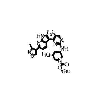 Cc1nocc1-c1ccc2c(-c3nc(N[C@H]4C[C@@H](O)CN(C(=O)OC(C)(C)C)C4)ncc3C(F)(F)F)c[nH]c2n1